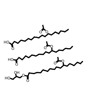 CCCCCCC(CCCCCCCCCCC(=O)O)OC(C)=O.CCCCCCC(CCCCCCCCCCC(=O)O)OC(C)=O.CCCCCCC(CCCCCCCCCCC(=O)OCC(O)CO)OC(C)=O